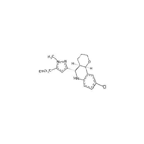 CCOC(=O)c1cc([C@H]2Nc3ccc(Cl)cc3[C@@H]3OCCC[C@H]23)nn1C